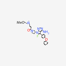 COCCN(C)CC=CC(=O)N1CC[C@@H](n2c(F)c(-c3ccc(Oc4ccccc4)cc3)c3c(N)ncnc32)C1